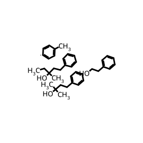 CC(C)(O)CCc1ccccc1.CCC(C)(O)CCc1ccccc1.Cc1cc[c]cc1.OCCc1ccccc1